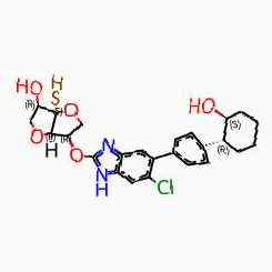 O[C@@H]1CO[C@@H]2[C@H](Oc3nc4cc(-c5ccc([C@H]6CCCC[C@@H]6O)cc5)c(Cl)cc4[nH]3)CO[C@]12S